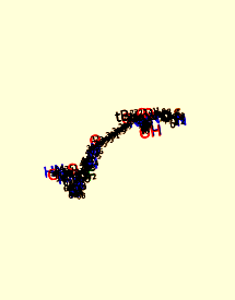 Cc1ncsc1-c1ccc(C(C)NC(=O)[C@@H]2C[C@@H](O)CN2C(=O)C(NC(=O)CCCCCCCCCC(=O)N2CCN(c3ccc(-c4cc(NC(=O)c5c[nH]c(=O)cc5C(F)(F)F)c(N5C[C@@H](C)N(C)[C@@H](C)C5)cc4F)cn3)CC2)C(C)(C)C)cc1